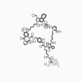 COc1cc2c(cc1OCCCCC(=O)N1C[C@@H](CCl)c3c1cc(OP(=O)(O)O)c1ccccc31)N(C(=O)OCc1ccc(NC(=O)[C@H](CCCCNC(=O)OC(C)(C)C)NC(=O)C3(C(=O)NCCCCCN4C(=O)C=CC4O)CCC3)cc1)C(O)[C@@H]1CCCN1C2=O